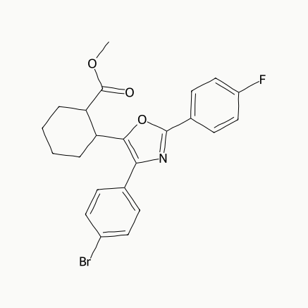 COC(=O)C1CCCCC1c1oc(-c2ccc(F)cc2)nc1-c1ccc(Br)cc1